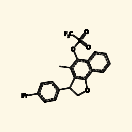 Cc1c2c(c3ccccc3c1OS(=O)(=O)C(F)(F)F)OCC2c1ccc(C(C)C)cc1